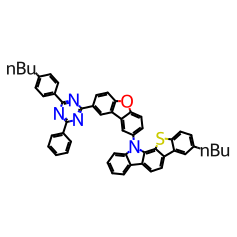 CCCCc1ccc(-c2nc(-c3ccccc3)nc(-c3ccc4oc5ccc(-n6c7ccccc7c7ccc8c9cc(CCCC)ccc9sc8c76)cc5c4c3)n2)cc1